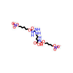 N=C(NCCCC(NC(=O)OCCCCCO[N+](=O)[O-])C(=O)O)NC(=O)OCCCCCCO[N+](=O)[O-]